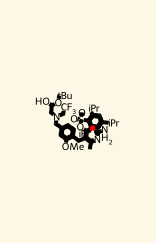 COc1cc(CN(CC(O)OC(C)(C)C)CC(F)(F)F)ccc1Cc1c(C)nc(N)nc1OS(=O)(=O)c1c(C(C)C)cc(C(C)C)cc1C(C)C